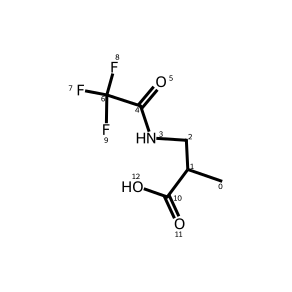 CC(CNC(=O)C(F)(F)F)C(=O)O